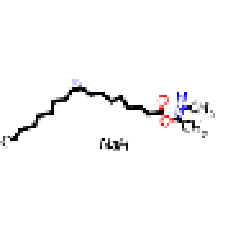 CCCCCCCC/C=C\CCCCCCCC(=O)OC(C)NC.[NaH]